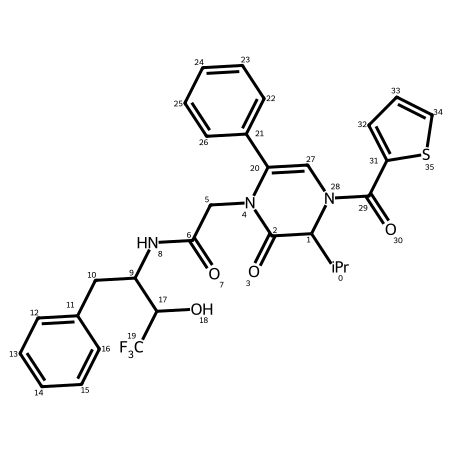 CC(C)C1C(=O)N(CC(=O)NC(Cc2ccccc2)C(O)C(F)(F)F)C(c2ccccc2)=CN1C(=O)c1cccs1